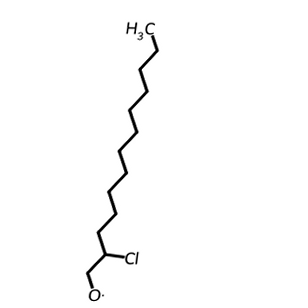 CCCCCCCCCCCC(Cl)C[O]